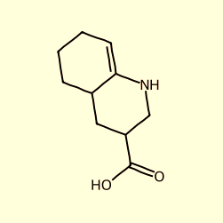 O=C(O)C1CNC2=CCCCC2C1